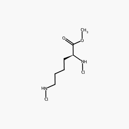 COC(=O)[C@H](CCCCNCl)NCl